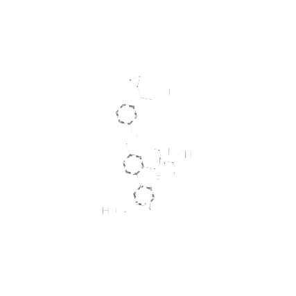 CCC(c1cccc(OCc2ccc(-c3cc(OC)ncc3F)c(CN(C(C)C)C(C)C)c2)c1)C1CC1